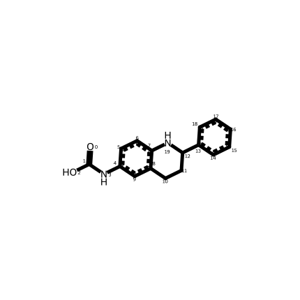 O=C(O)Nc1ccc2c(c1)CCC(c1ccccc1)N2